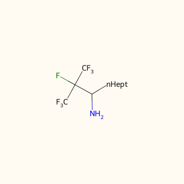 CCCCCCCC(N)C(F)(C(F)(F)F)C(F)(F)F